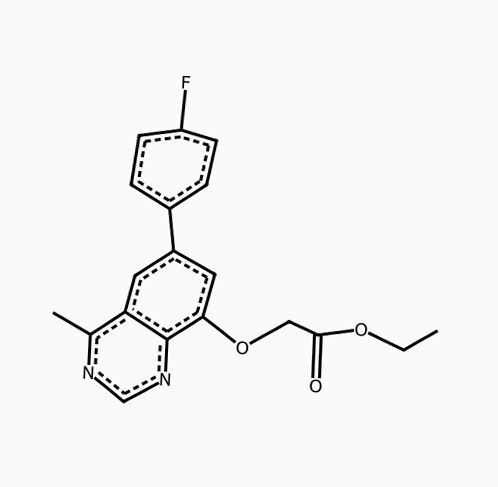 CCOC(=O)COc1cc(-c2ccc(F)cc2)cc2c(C)ncnc12